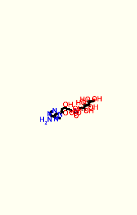 Nc1ncnc2c1ncn2[C@H]1CC(O)[C@@H](COP(=O)(O)OC[C@H](O)[C@@H](O)[C@H](O)[C@H](O)CO)O1